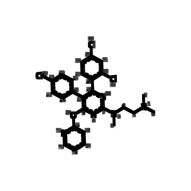 CN(C)CCN(C)c1nc(Oc2ccccn2)c(-c2ccc(Cl)cc2)c(-c2ccc(Cl)cc2Cl)n1